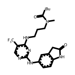 CCC(C)C(=O)N(C)CCCNc1nc(Nc2ccc3c(c2)CC(=O)N3)ncc1C(F)(F)F